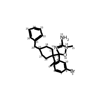 CCC1(C2(c3cccc(Br)c3)N=C(N)N(C)O2)CCC(Cc2ccccc2)CC1